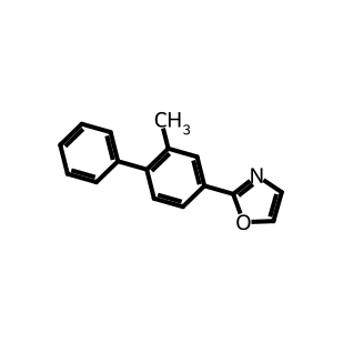 Cc1cc(-c2ncco2)ccc1-c1ccccc1